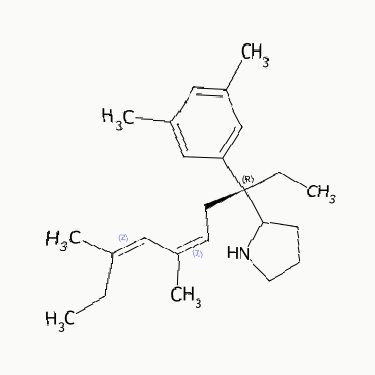 CC/C(C)=C\C(C)=C/C[C@](CC)(c1cc(C)cc(C)c1)C1CCCN1